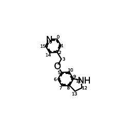 c1cc(COc2ccc3c(c2)NCC3)ccn1